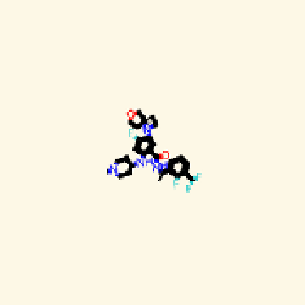 C[C@@H](NC(=O)c1cc(N2CC[C@]23CCOC3)c(F)cc1NC1CCN(C)CC1)c1cccc(C(F)F)c1F